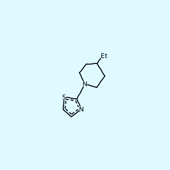 [CH2]CC1CCN(c2nccs2)CC1